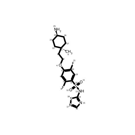 C[C@]1(CCOc2cc(F)c(S(=O)(=O)Nc3ncns3)cc2F)CC[C@@H](N)CC1